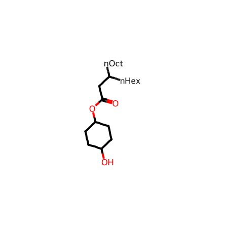 CCCCCCCCC(CCCCCC)CC(=O)OC1CCC(O)CC1